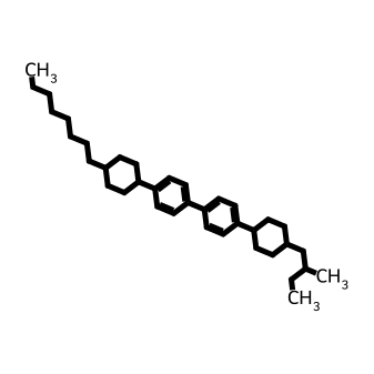 CCCCCCCCC1CCC(c2ccc(-c3ccc(C4CCC(CC(C)CC)CC4)cc3)cc2)CC1